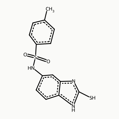 Cc1ccc(S(=O)(=O)Nc2ccc3[nH]c(S)nc3c2)cc1